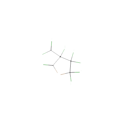 FC(F)C1(F)C(F)SC(F)(F)C1(F)F